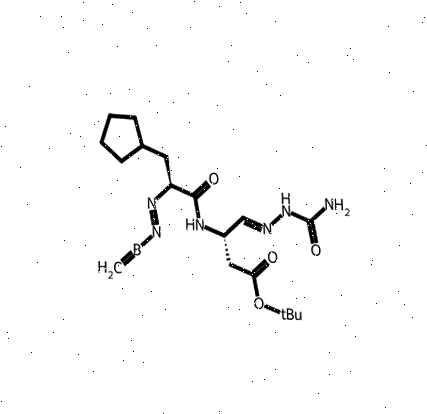 C=BN=N[C@@H](CC1CCCC1)C(=O)N[C@H](/C=N/NC(N)=O)CC(=O)OC(C)(C)C